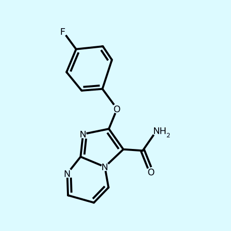 NC(=O)c1c(Oc2ccc(F)cc2)nc2ncccn12